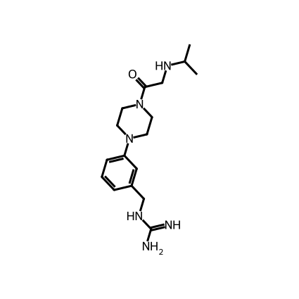 CC(C)NCC(=O)N1CCN(c2cccc(CNC(=N)N)c2)CC1